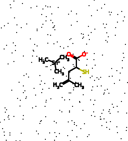 C=C(C)CC(S)C(=O)[O-].[CH3][Sn+]([CH3])[CH3]